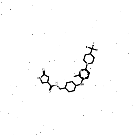 Cc1nc(N2CCC(C(F)(F)F)CC2)ccc1NC1CCC(CNC(=O)C2CNC(=O)C2)CC1